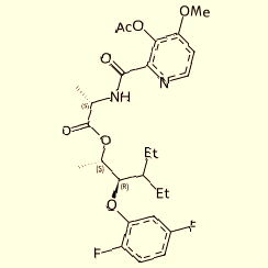 CCC(CC)[C@@H](Oc1cc(F)ccc1F)[C@H](C)OC(=O)[C@H](C)NC(=O)c1nccc(OC)c1OC(C)=O